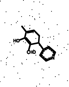 CC1=CCC(c2ccncc2)C(C=O)=C1O